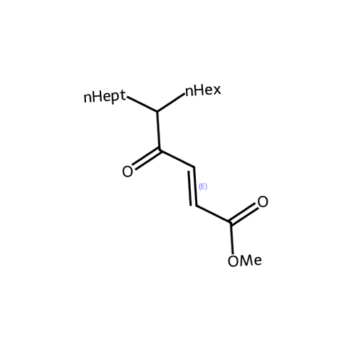 CCCCCCCC(CCCCCC)C(=O)/C=C/C(=O)OC